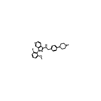 COc1cccc(F)c1-n1nc(NCc2ccc(N3CCN(C)CC3)cc2)c2ccncc21